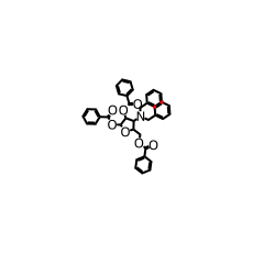 O=C(OCC1OC(OC(=O)c2ccccc2)C(OC(=O)c2ccccc2)C1N(Cc1ccccc1)Cc1ccccc1)c1ccccc1